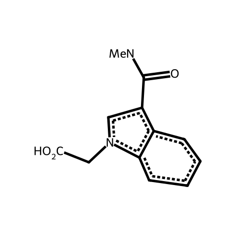 CNC(=O)c1cn(CC(=O)O)c2ccccc12